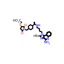 C=C(NCCCCn1c(CCCC)nc2c(N)nc3ccccc3c21)C1CCC(CN2C(=O)CC(SCC(=O)O)C2=O)CC1